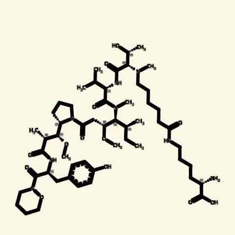 CC[C@H](C)[C@@H]([C@@H](CC(=O)N1CCC[C@H]1[C@H](OC)[C@@H](C)C(=O)N[C@@H](Cc1ccc(O)cc1)C(=O)N1CCCCO1)OC)N(C)C(=O)[C@@H](NC(=O)[C@H]([C@@H](C)O)N(C)CCCCCC(=O)NCCCC[C@H](N)C(=O)O)C(C)C